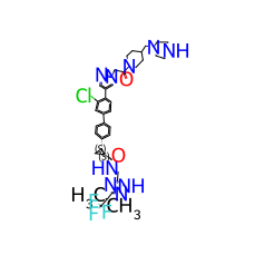 CC(C)(c1n[nH]c(CNC(=O)[C@H]2C[C@@H]2c2ccc(-c3ccc(-c4cnn(CC(=O)N5CCC(CN6CCNCC6)CC5)c4)c(Cl)c3)cc2)n1)C(F)(F)F